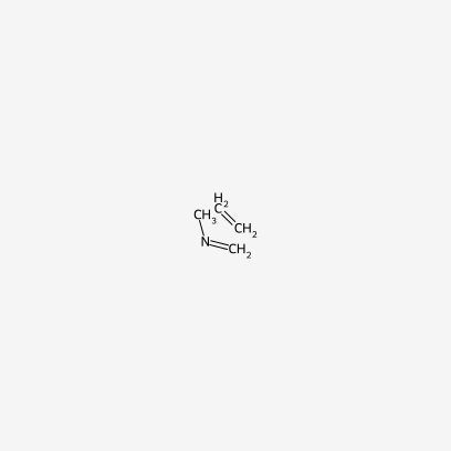 C=C.C=NC